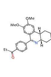 CCC(=O)c1ccc(C2=N[C@H]3CCCC[C@H]3c3cc(OC)c(OC)cc32)cc1